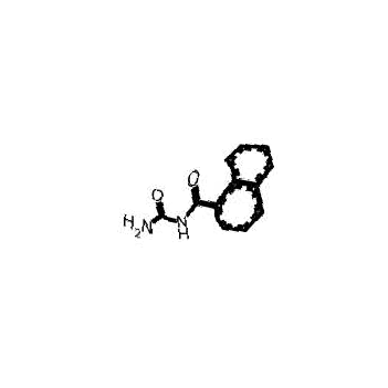 NC(=O)NC(=O)c1cccc2ccccc12